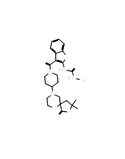 CCNC(=O)Nc1sc2ccccc2c1C(=O)N1CCC(N2CCOC3(C2)CC(C)(C)OC3=O)CC1